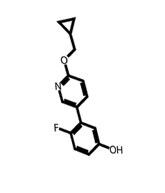 Oc1ccc(F)c(-c2ccc(OCC3CC3)nc2)c1